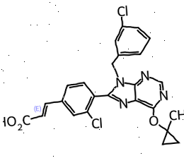 CC1(Oc2ncnc3c2nc(-c2ccc(/C=C/C(=O)O)cc2Cl)n3Cc2cccc(Cl)c2)CC1